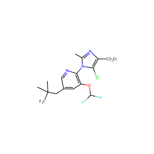 CCOC(=O)c1nc(C)n(-c2ncc(CC(C)(C)C(F)(F)F)cc2OC(F)F)c1Cl